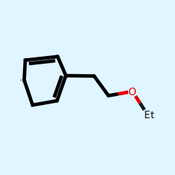 CCOCCC1=CC[CH]C=C1